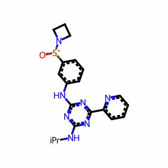 CC(C)Nc1nc(Nc2cccc([S+]([O-])N3CCC3)c2)nc(-c2ccccn2)n1